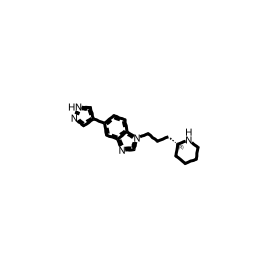 c1cc2c(cc1-c1cn[nH]c1)ncn2CCC[C@H]1CCCCN1